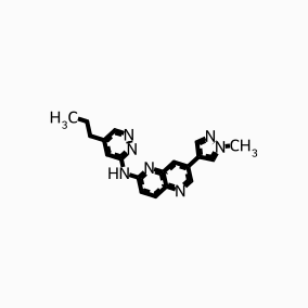 CCCc1cnnc(Nc2ccc3ncc(-c4cnn(C)c4)cc3n2)c1